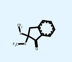 O=C1c2ccccc2CC1(SC(F)(F)F)SC(F)(F)F